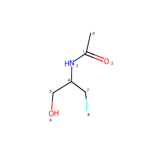 CC(=O)NC(CO)CF